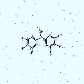 OB(c1cc(F)c(F)c(F)c1)c1cc(F)c(F)c(F)c1